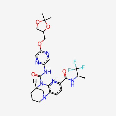 C[C@@H](NC(=O)c1ccc2c(n1)N(C(=O)Nc1cnc(OC[C@H]3COC(C)(C)O3)cn1)[C@H]1CCCN2C1)C(F)(F)F